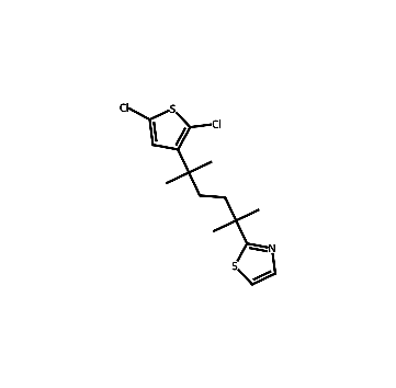 CC(C)(CCC(C)(C)c1cc(Cl)sc1Cl)c1nccs1